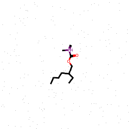 C=[PH](C)C(=O)OCC(CC)CCCC